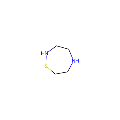 C1CNSCCN1